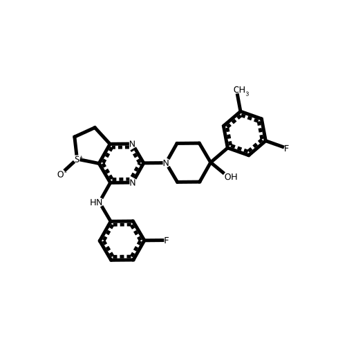 Cc1cc(F)cc(C2(O)CCN(c3nc4c(c(Nc5cccc(F)c5)n3)[S+]([O-])CC4)CC2)c1